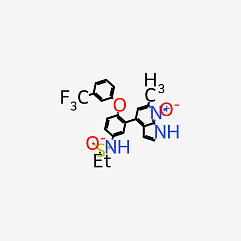 CC[S+]([O-])Nc1ccc(Oc2cccc(C(F)(F)F)c2)c(-c2cc(C)[n+]([O-])c3[nH]ccc23)c1